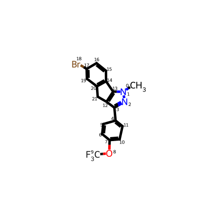 Cn1nc(-c2ccc(OC(F)(F)F)cc2)c2c1-c1ccc(Br)cc1C2